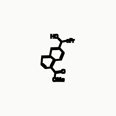 CCCC(O)c1ccc2c(C(=O)OC)cccc2c1